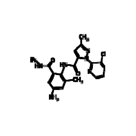 Cc1cc(C(=O)Nc2c(C)cc(N)cc2C(=O)NC(C)C)n(-c2ncccc2Cl)n1